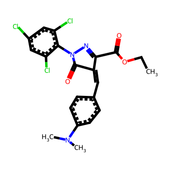 CCOC(=O)C1=NN(c2c(Cl)cc(Cl)cc2Cl)C(=O)C1=Cc1ccc(N(C)C)cc1